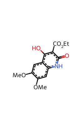 CCOC(=O)c1c(O)c2cc(OC)c(OC)cc2[nH]c1=O